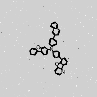 c1ccc2cc(-c3ccc(N(c4ccc(-c5cccc6c5oc5cccnc56)cc4)c4ccc5c(c4)oc4ccccc45)cc3)ccc2c1